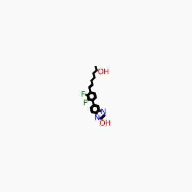 CC(O)CCCC=Cc1ccc(-c2ccc3nc(O)cnc3c2)c(F)c1F